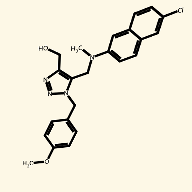 COc1ccc(Cn2nnc(CO)c2CN(C)c2ccc3cc(Cl)ccc3c2)cc1